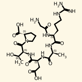 C[C@H](NC(=O)[C@H](CCCNC(=N)N)NC(=O)CN)C(=O)N[C@@H](CC(=O)O)C(=O)N[C@H](C(=O)N1CCC[C@H]1C(=O)O)[C@@H](C)O